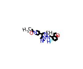 CCC(=O)N1CC=C(C2=CN(C)C(NCc3c(F)ccc4c3CCO4)n3cncc32)CC1